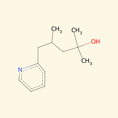 CC(Cc1ccccn1)CC(C)(C)O